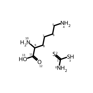 NC(=S)S.NCCCCC(N)C(=O)O